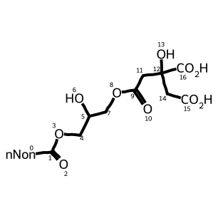 CCCCCCCCCC(=O)OCC(O)COC(=O)CC(O)(CC(=O)O)C(=O)O